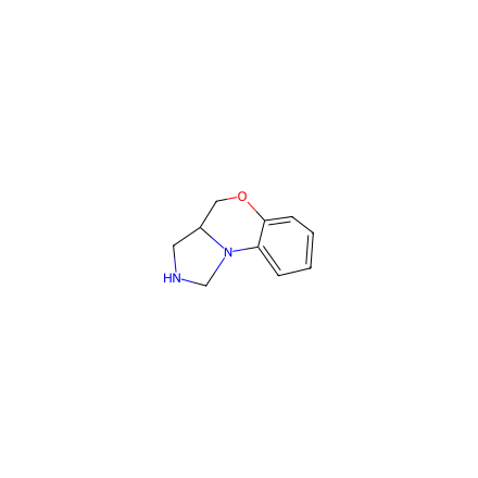 c1ccc2c(c1)OCC1CNCN21